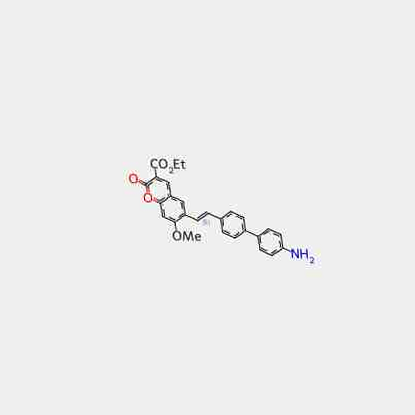 CCOC(=O)c1cc2cc(/C=C/c3ccc(-c4ccc(N)cc4)cc3)c(OC)cc2oc1=O